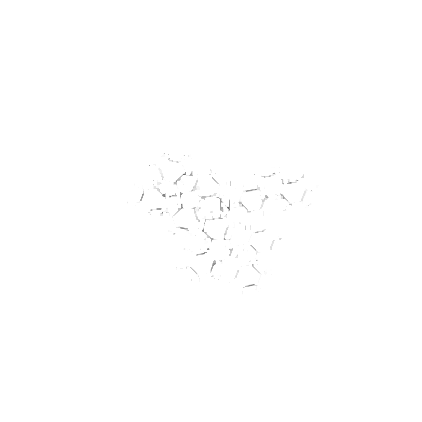 c1ccc(-c2c(-c3ccccc3)c3cc(N(c4ccc5c(ccc6ccccc65)c4)c4cccc5c4-c4ccccc4C5(c4ccccc4)c4ccccc4)ccc3c3ccccc23)cc1